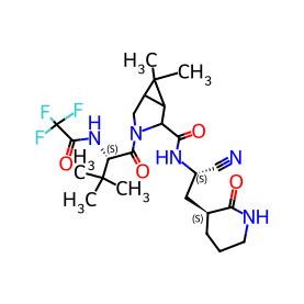 CC1(C)C2CN(C(=O)[C@@H](NC(=O)C(F)(F)F)C(C)(C)C)C(C(=O)N[C@H](C#N)C[C@@H]3CCCNC3=O)C21